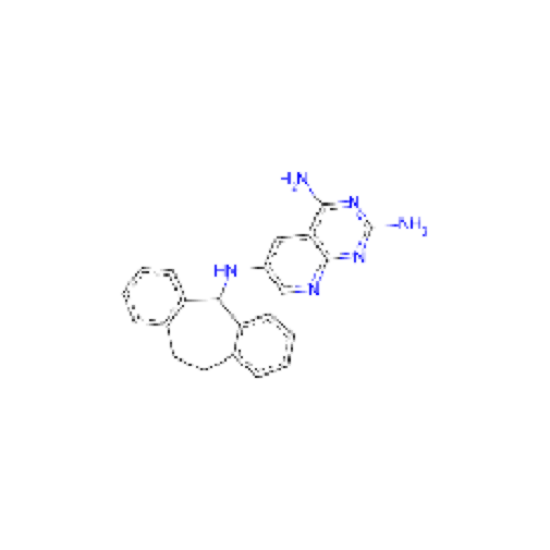 Nc1nc(N)c2cc(NC3c4ccccc4CCc4ccccc43)cnc2n1